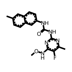 CONc1nc(NC(=O)Nc2ccc3cc(C)ccc3c2)nc(C)c1F